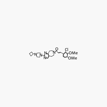 COc1ccc(/C=C/C(=O)N2CCc3cnc(N4CCN(C5CCC5)CC4)nc3CC2)c(Cl)c1OC